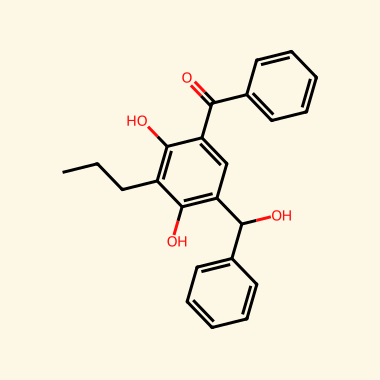 CCCc1c(O)c(C(=O)c2ccccc2)cc(C(O)c2ccccc2)c1O